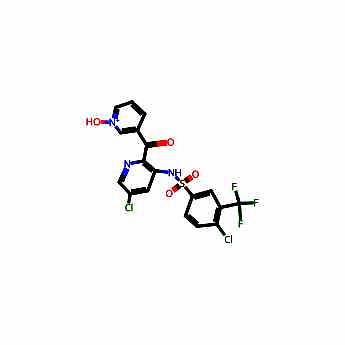 O=C(c1ccc[n+](O)c1)c1ncc(Cl)cc1NS(=O)(=O)c1ccc(Cl)c(C(F)(F)F)c1